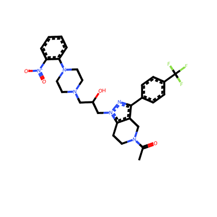 CC(=O)N1CCc2c(c(-c3ccc(C(F)(F)F)cc3)nn2CC(O)CN2CCN(c3ccccc3[N+](=O)[O-])CC2)C1